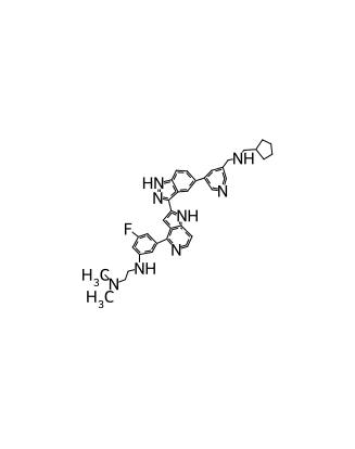 CN(C)CCNc1cc(F)cc(-c2nccc3[nH]c(-c4n[nH]c5ccc(-c6cncc(CNCC7CCCC7)c6)cc45)cc23)c1